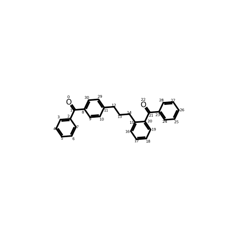 O=C(c1ccccc1)c1ccc(CCCc2ccccc2C(=O)c2ccccc2)cc1